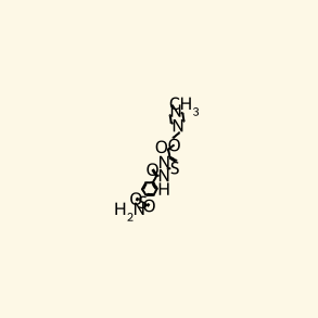 CN1CCN(CCOC(=O)c2csc(NC(=O)c3ccc(S(N)(=O)=O)cc3)n2)CC1